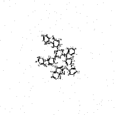 c1cnc2nc(-n3c4ccccc4c4cc5c6ccccc6n(-c6nc(-c7ccc8sc9ccccc9c8c7)nc(-c7ccc8sc9ccccc9c8c7)n6)c5cc43)ccc2c1